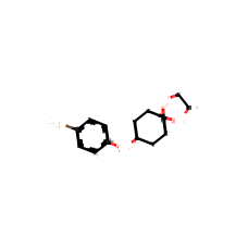 Brc1ccc(OC2CCC3(CC2)OCCO3)cc1